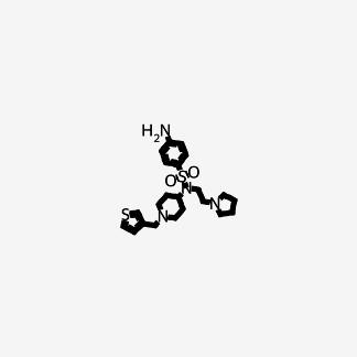 Nc1ccc(S(=O)(=O)N(CCN2CCCC2)C2CCN(Cc3ccsc3)CC2)cc1